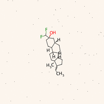 CC=C1CC[C@H]2[C@@H]3CC[C@H]4C[C@@](O)(C(F)F)CC[C@@H]4[C@H]3CC[C@]12C